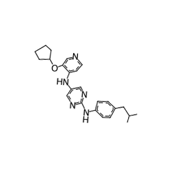 CC(C)Cc1ccc(Nc2ncc(Nc3ccncc3OC3CCCC3)cn2)cc1